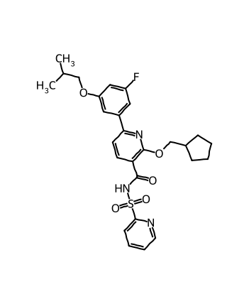 CC(C)COc1cc(F)cc(-c2ccc(C(=O)NS(=O)(=O)c3ccccn3)c(OCC3CCCC3)n2)c1